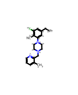 Cc1cccnc1CN1CCN(c2cc(CC(C)C)cc(F)c2C#N)CC1